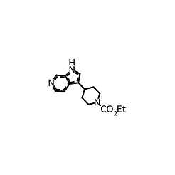 CCOC(=O)N1CCC(c2c[nH]c3cnccc23)CC1